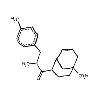 Cc1ccc(CN(C)C(=O)C2CCC3(C(=O)O)CCCC2C3)cc1